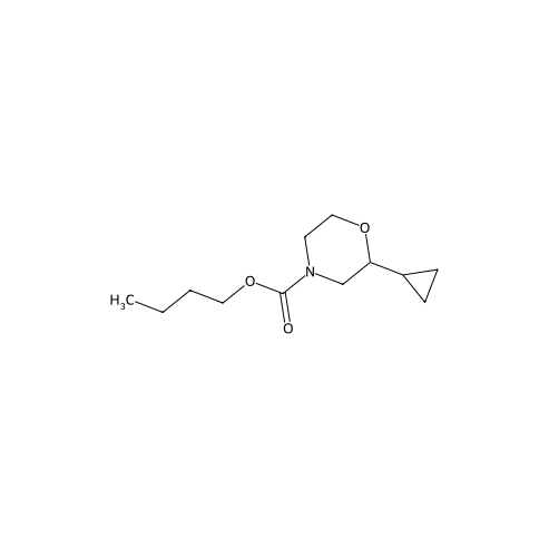 CCCCOC(=O)N1CCOC(C2CC2)C1